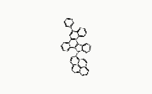 c1ccc(-c2cc3c4ccccc4c4c(c5ccccc5n4-c4ccc5ccc6cccc7ccc4c5c67)c3c3ccccc23)cc1